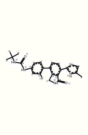 Cc1cnc(-c2ccc(-c3ccc(NC(=O)NC(C)(C)C)cc3F)c3c2C(=O)NC3)[nH]1